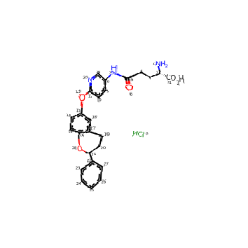 Cl.N[C@@H](CCC(=O)Nc1ccc(Oc2ccc3c(c2)CCC(c2ccccc2)O3)nc1)C(=O)O